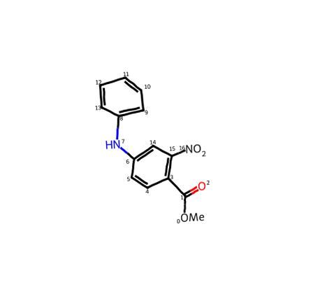 COC(=O)c1ccc(Nc2ccccc2)cc1[N+](=O)[O-]